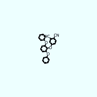 N#Cc1ccc(Oc2c(Oc3ccccc3)cccc2Oc2ccccc2)cc1C#N